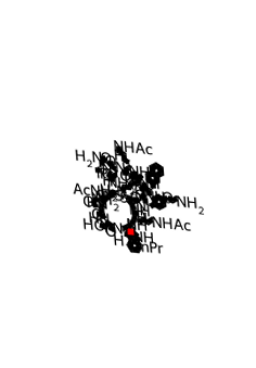 CCCc1cccc2c(C[C@@H]3NC(=O)[C@H]([C@@H](C)O)NC(=O)[C@H](CC(N)=O)NC(=O)[C@@H](NC(C)=O)C(C)(C)SSC(C)(C)[C@@H](C(=O)N[C@@H](Cc4ccc(OCCN)cc4)C(=O)N[C@@H](Cc4ccc5ccccc5c4)C(=O)NC(C)(CCCCN)C(=O)N[C@@H](CCCCNC(C)=O)C(=O)N[C@@H](CC(N)=O)C(=O)N[C@H](CC(C)C)C(N)=O)NC(=O)[C@H](CCCCNC(C)=O)NC3=O)c[nH]c12